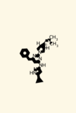 CN(C)C[C@@H]1[C@H]2CN(c3nc(Cc4ccccc4)cc(Nc4cc(C5CC5)[nH]n4)n3)C[C@@H]12